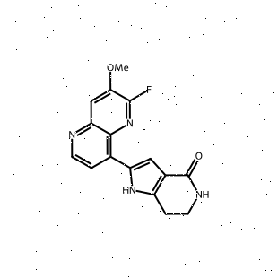 COc1cc2nccc(-c3cc4c([nH]3)CCNC4=O)c2nc1F